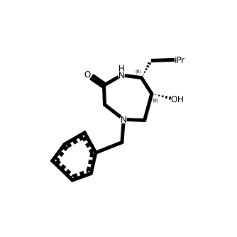 CC(C)C[C@H]1NC(=O)CN(Cc2ccccc2)C[C@H]1O